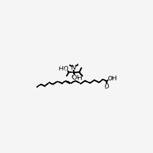 CC(C)C(O)(C(C)O)N(C)C.CCCCCCCC=CCCCCCCCC(=O)O